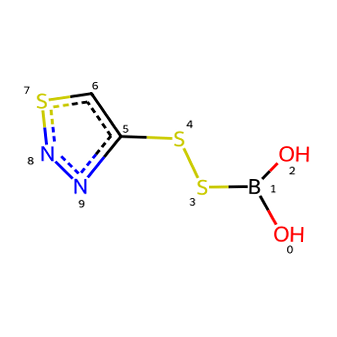 OB(O)SSc1csnn1